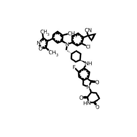 Cc1ccc(-c2c(C)noc2C)cc1N(C[C@H]1CC[C@H](Nc2cc3c(cc2F)CN(C2CCC(=O)NC2=O)C3=O)CC1)c1ccc(C2(C#N)CC2)c(Cl)c1